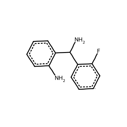 Nc1ccccc1C(N)c1cc[c]cc1F